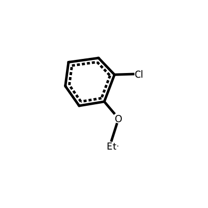 C[CH]Oc1ccccc1Cl